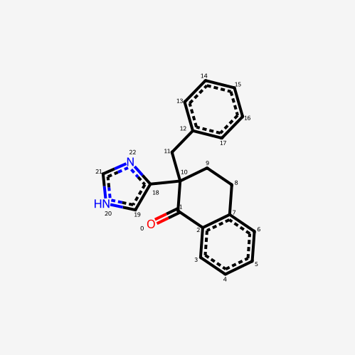 O=C1c2ccccc2CCC1(Cc1ccccc1)c1c[nH]cn1